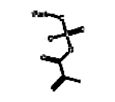 C=C(C)C(=O)OP(=O)(O)OCCCCC